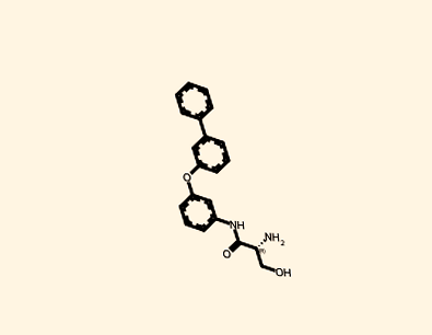 N[C@H](CO)C(=O)Nc1cccc(Oc2cccc(-c3ccccc3)c2)c1